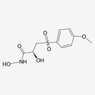 COc1ccc(S(=O)(=O)C[C@@H](O)C(=O)NO)cc1